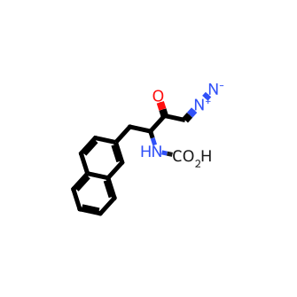 [N-]=[N+]=CC(=O)C(Cc1ccc2ccccc2c1)NC(=O)O